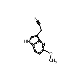 COc1ccc2[nH]cc(CC#N)c2n1